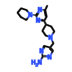 Cc1cc(C2CCN(Cc3cnc(N)nc3)CC2)nc(N2CCCCC2)n1